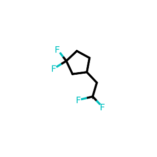 F[C](F)CC1CCC(F)(F)C1